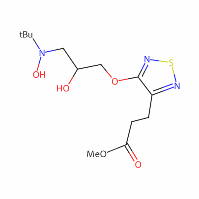 COC(=O)CCc1nsnc1OCC(O)CN(O)C(C)(C)C